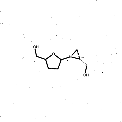 OCC1CCC(N2C[C@@H]2CO)O1